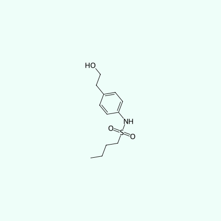 CCCCS(=O)(=O)Nc1ccc(CCO)cc1